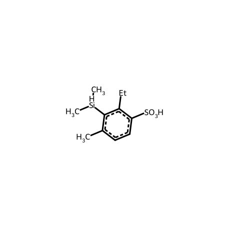 CCc1c(S(=O)(=O)O)ccc(C)c1[SiH](C)C